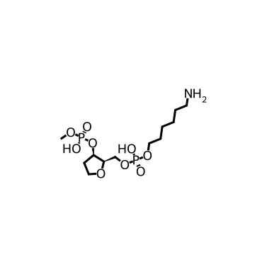 COP(=O)(O)O[C@@H]1CCO[C@@H]1COP(=O)(O)OCCCCCCN